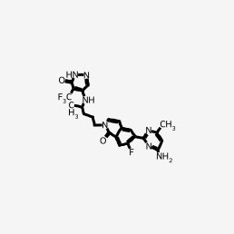 Cc1cc(N)nc(-c2cc3ccn(CCCC(C)Nc4cn[nH]c(=O)c4C(F)(F)F)c(=O)c3cc2F)n1